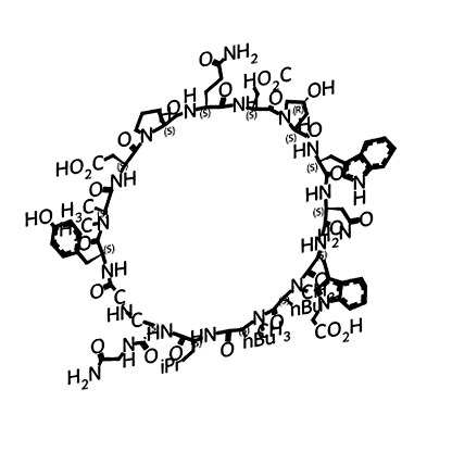 CCCC[C@H]1C(=O)N(C)[C@@H](CCCC)C(=O)N[C@@H](CC(C)C)C(=O)N[C@H](C(=O)NCC(N)=O)CNCC(=O)N[C@@H](Cc2ccc(O)cc2)C(=O)N(C)[C@@H](C)C(=O)N[C@@H](CC(=O)O)C(=O)N2CCC[C@H]2C(=O)N[C@@H](CCC(N)=O)C(=O)N[C@@H](CC(=O)O)C(=O)N2C[C@H](O)C[C@H]2C(=O)N[C@@H](Cc2c[nH]c3ccccc23)C(=O)N[C@@H](CC(N)=O)C(=O)N[C@@H](Cc2cn(CC(=O)O)c3ccccc23)C(=O)N1C